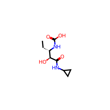 CC[C@H](NC(=O)O)[C@H](O)C(=O)NC1CC1